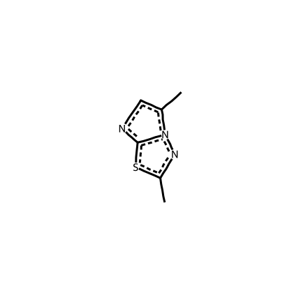 Cc1nn2c(C)cnc2s1